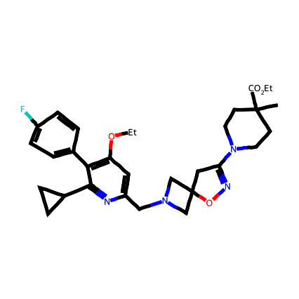 CCOC(=O)C1(C)CCN(C2=NOC3(C2)CN(Cc2cc(OCC)c(-c4ccc(F)cc4)c(C4CC4)n2)C3)CC1